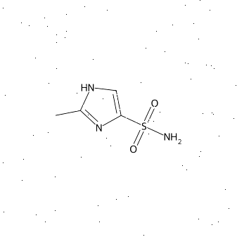 Cc1nc(S(N)(=O)=O)c[nH]1